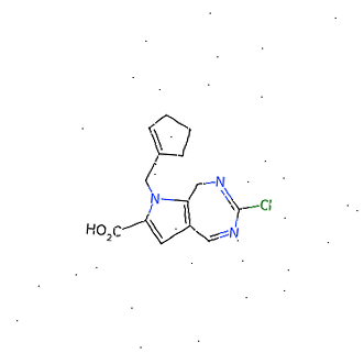 O=C(O)c1cc2c(n1CC1=CCCC1)CN=C(Cl)N=C2